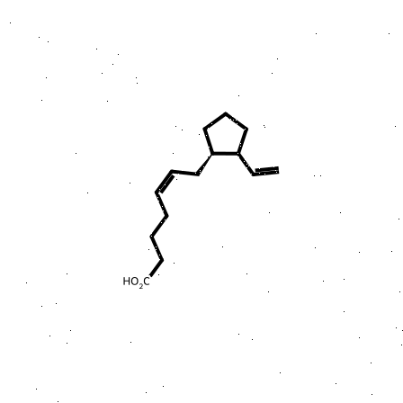 C=CC1CCC[C@@H]1C/C=C\CCCC(=O)O